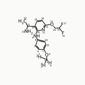 [2H]C([2H])([2H])Oc1ccc(Nc2nc(OCC(F)F)ccc2C(C)N)cc1